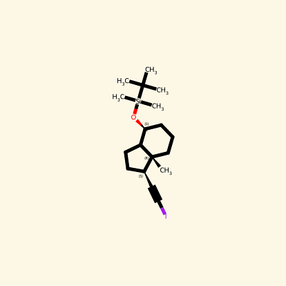 CC(C)(C)[Si](C)(C)O[C@H]1CCC[C@@]2(C)C1CC[C@@H]2C#CI